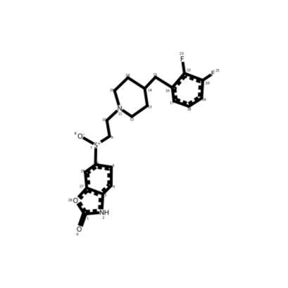 O=c1[nH]c2ccc([S+]([O-])CCN3CCC(Cc4cccc(F)c4F)CC3)cc2o1